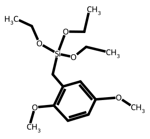 CCO[Si](Cc1cc(OC)ccc1OC)(OCC)OCC